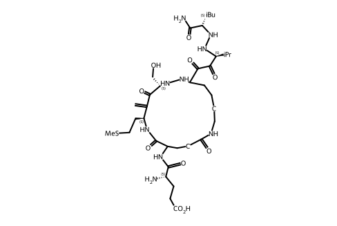 C=C1C(=O)[C@H](CO)NNC(C(=O)C(=O)[C@@H](NNC(C(N)=O)[C@@H](C)CC)C(C)C)CCCCNC(=O)CCC(NC(=O)[C@@H](N)CCC(=O)O)C(=O)N[C@H]1CCSC